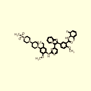 CCc1cc(Nc2nccc(-c3c(-c4ccc(OC)c(C(=O)NC5C(F)=CC=CC5F)c4)nc4ccccn34)n2)c(OC)cc1N1CCC(N2CCN(S(C)(=O)=O)CC2)CC1